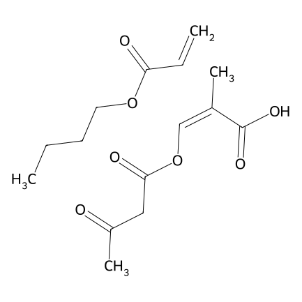 C=CC(=O)OCCCC.CC(=O)CC(=O)OC=C(C)C(=O)O